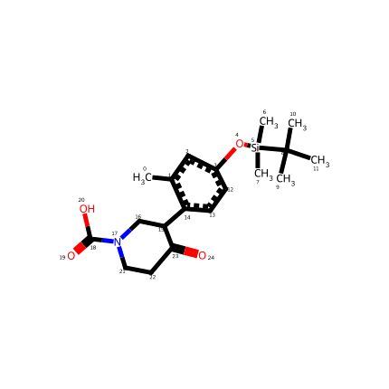 Cc1cc(O[Si](C)(C)C(C)(C)C)ccc1C1CN(C(=O)O)CCC1=O